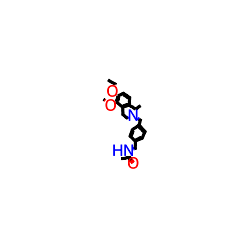 CCOc1ccc2c(c1OC)CCN(Cc1ccc(CNC(C)=O)cc1)C2C